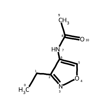 CCc1nocc1NC(C)=O